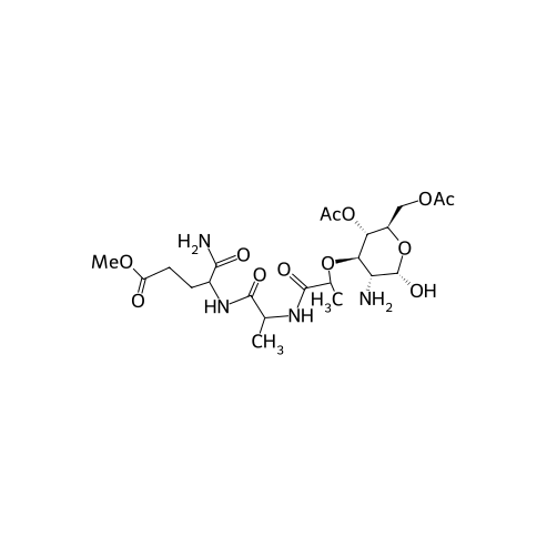 COC(=O)CCC(NC(=O)C(C)NC(=O)C(C)O[C@@H]1[C@@H](N)[C@@H](O)O[C@H](COC(C)=O)[C@H]1OC(C)=O)C(N)=O